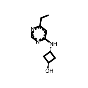 CCc1cc(N[C@H]2C[C@H](O)C2)ncn1